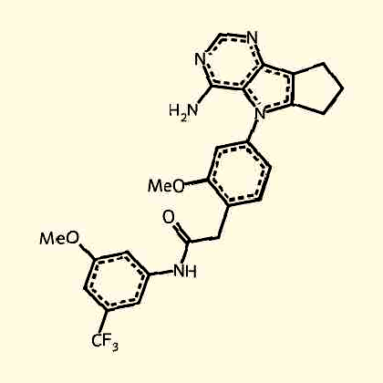 COc1cc(NC(=O)Cc2ccc(-n3c4c(c5ncnc(N)c53)CCC4)cc2OC)cc(C(F)(F)F)c1